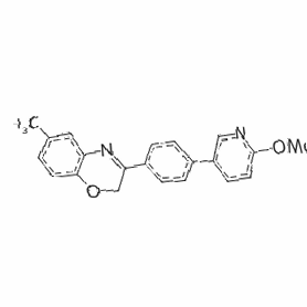 COc1ccc(-c2ccc(C3=Nc4cc(C)ccc4OC3)cc2)cn1